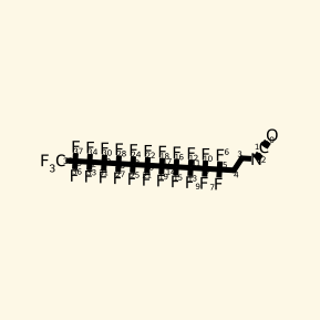 O=C=NCCC(F)(F)C(F)(F)C(F)(F)C(F)(F)C(F)(F)C(F)(F)C(F)(F)C(F)(F)C(F)(F)C(F)(F)C(F)(F)C(F)(F)F